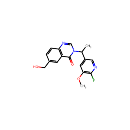 COc1cc(C(C)n2cnc3ccc(CO)cc3c2=O)cnc1F